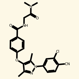 Cc1nn(-c2ccc(C#N)c(Cl)c2)c(C)c1Oc1ccc(C(=O)NCC(=O)N(C)C)cc1